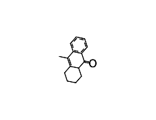 CC1=C2CCCCC2C(=O)c2ccccc21